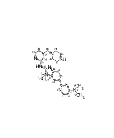 CN(C)c1ccnc(-c2ccc3nc(Nc4cc(CN5CCNCC5)ccn4)[nH]c3c2)n1.Cl